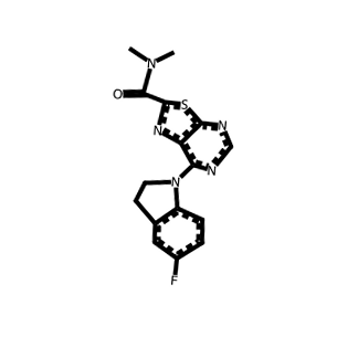 CN(C)C(=O)c1nc2c(N3CCc4cc(F)ccc43)ncnc2s1